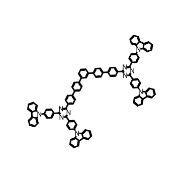 c1cc(-c2ccc(-c3ccc(-c4nc(-c5ccc(-n6c7ccccc7c7ccccc76)cc5)nc(-c5ccc(-n6c7ccccc7c7ccccc76)cc5)n4)cc3)cc2)cc(-c2ccc(-c3ccc(-c4nc(-c5ccc(-n6c7ccccc7c7ccccc76)cc5)nc(-c5ccc(-n6c7ccccc7c7ccccc76)cc5)n4)cc3)cc2)c1